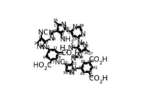 [C-]#[N+]c1cnn(-c2cc(C(=O)O)cc(C(=O)O)c2)c1N=Nc1c(C)nn(-c2cc(-n3nc(C)c(N=Nc4c(C#N)cnn4-c4cc(C(=O)O)cc(C(=O)O)c4)c3N)ncn2)c1N